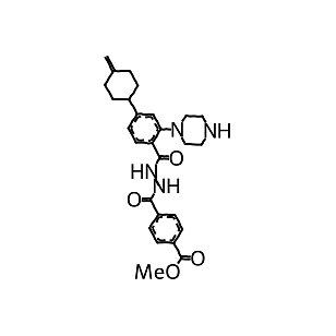 C=C1CCC(c2ccc(C(=O)NNC(=O)c3ccc(C(=O)OC)cc3)c(N3CCNCC3)c2)CC1